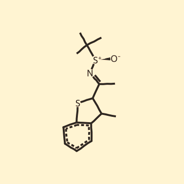 C/C(=N\[S@+]([O-])C(C)(C)C)C1Sc2ccccc2C1C